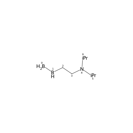 BBCCN(C(C)C)C(C)C